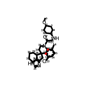 COC1CCC(N[C@H](Cc2ccc(Cl)cc2)C(=O)N2CCC(Cc3nc[nH]n3)(C3CCCCC3)CC2)CC1